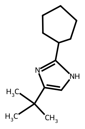 CC(C)(C)c1c[nH]c(C2CCCCC2)n1